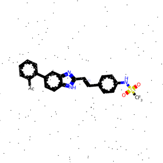 CC(=O)c1ccccc1-c1ccc2[nH]c(/C=C/c3ccc(NS(=O)(=O)C(F)(F)F)cc3)nc2c1